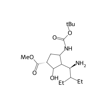 CCC(CC)[C@H](N)C1C(NC(=O)OC(C)(C)C)C[C@@H](C(=O)OC)C1O